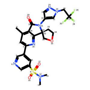 Cc1cc(-c2cncc(S(=O)(=O)N(C)C)c2)nc2c1C(=O)N(c1cnn(CC(F)(F)F)c1)[C@@]21CCOC1